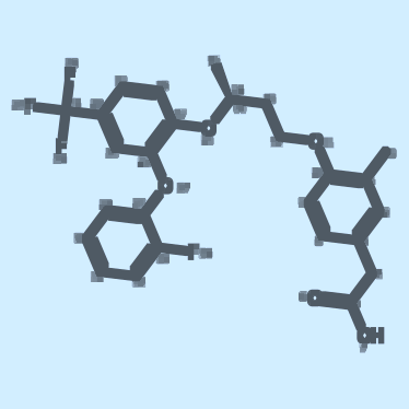 Cc1cc(CC(=O)O)ccc1OCC[C@H](C)Oc1ccc(C(F)(F)F)cc1Oc1ccccc1F